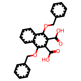 O=C(O)c1c(C(=O)O)c(OCc2ccccc2)c2ccccc2c1OCc1ccccc1